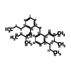 CCCc1cccc(Cc2cccc(CCC)c2N=C(C)CC)c1N=C(C)CC